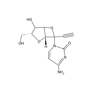 C#CC1(n2ccc(N)nc2=O)OC2C(O)[C@@H](CO)O[C@H]21